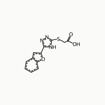 O=C(O)CSc1nnc(-c2cc3ccccc3o2)[nH]1